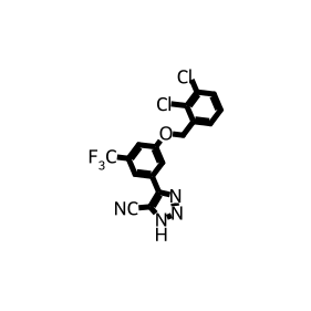 N#Cc1[nH]nnc1-c1cc(OCc2cccc(Cl)c2Cl)cc(C(F)(F)F)c1